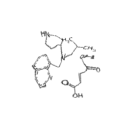 CC(C)CN(Cc1cccc2cccnc12)C1CCNCC1.O=C(O)C=CC(=O)O